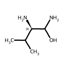 CC(C)[C@@H](N)C(N)O